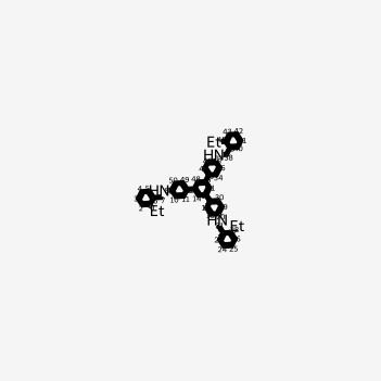 CCc1ccccc1CNc1ccc(-c2cc(-c3ccc(NCc4ccccc4CC)cc3)cc(-c3ccc(NCc4ccccc4CC)cc3)c2)cc1